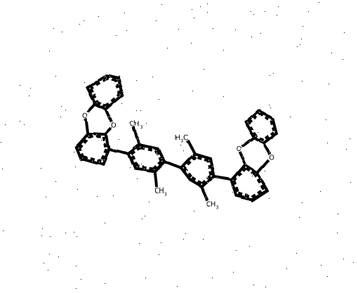 Cc1cc(-c2cccc3c2Oc2ccccc2O3)c(C)cc1-c1cc(C)c(-c2cccc3c2Oc2ccccc2O3)cc1C